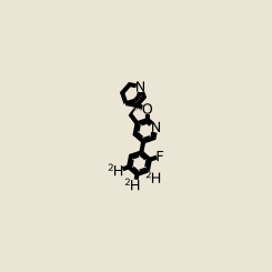 [2H]c1cc(-c2cnc3c(c2)C[C@@]2(CN4CCC2CC4)O3)c(F)c([2H])c1[2H]